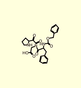 O=C(O)CN(C(=O)C(=O)C1CCCN1)C(=O)C(Cc1ccccc1)NC(=O)OCc1ccccc1